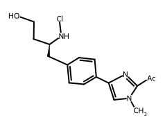 CC(=O)c1nc(-c2ccc(C[C@@H](CCO)NCl)cc2)cn1C